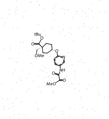 COC[C@]1(C(=O)OC(C)(C)C)CC[C@H](Oc2ccc(NC(=O)C(=O)OC)cn2)CC1